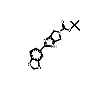 CC(C)(C)OC(=O)N1Cc2nc(-c3ccc4c(c3)OCO4)[nH]c2C1